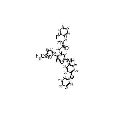 CN(Cc1ccccc1F)C(=O)CN(CC(=O)Nc1ccc(Oc2ccccc2)cc1)C(=O)c1ccc(C(F)(F)F)o1